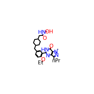 CCCc1nn(C)c2c(=O)[nH]c(-c3cc(CC4CCC(CC(=O)NO)CC4)ccc3OCC)nc12